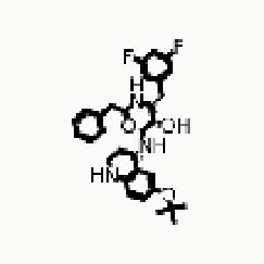 CC(C)(C)Oc1ccc2c(c1)[C@@H](NC[C@@H](O)[C@H](Cc1cc(F)cc(F)c1)NC(=O)Cc1ccccc1)CCN2